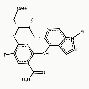 CCn1ncc2c(Nc3nc(N[C@H](COC)[C@H](C)N)c(F)cc3C(N)=O)cncc21